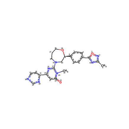 Cc1noc(-c2ccc([C@H]3CN(c4nc(-c5ccncn5)cc(=O)n4C)CCCO3)cc2)n1